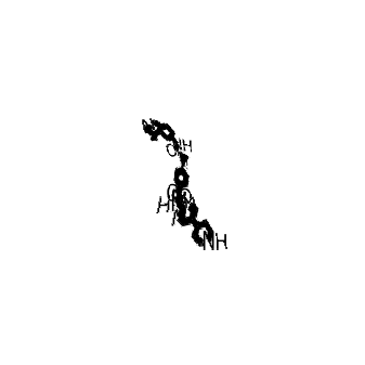 Cc1cncc2ccc(NC(=O)[C@@H]3C[C@H]3c3ccc(S(=O)(=O)Nc4ncc(C5CCNCC5)cn4)cc3)cc12